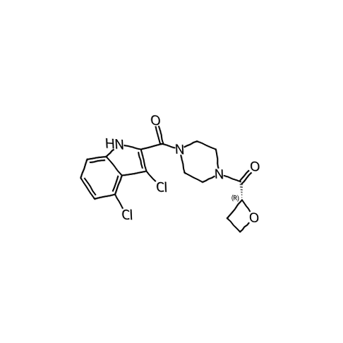 O=C(c1[nH]c2cccc(Cl)c2c1Cl)N1CCN(C(=O)[C@H]2CCO2)CC1